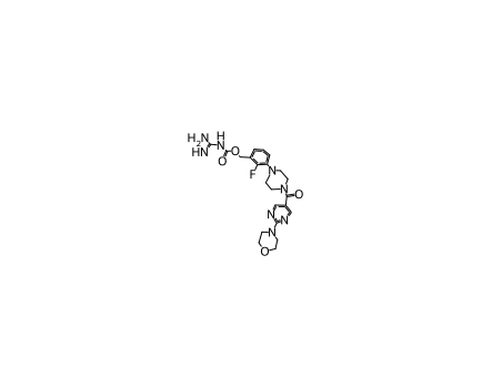 N=C(N)NC(=O)OCc1cccc(N2CCN(C(=O)c3cnc(N4CCOCC4)nc3)CC2)c1F